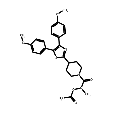 COc1ccc(-c2nc(C3CCN(C(=O)N(C)OC(C)=O)CC3)sc2-c2ccc(OC)cc2)cc1